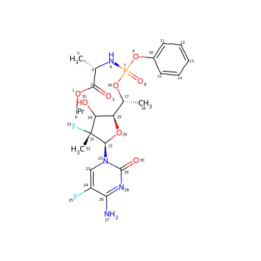 CC(C)OC(=O)[C@H](C)N[P@](=O)(Oc1ccccc1)O[C@H](C)[C@H]1O[C@@H](n2cc(F)c(N)nc2=O)[C@](C)(F)C1O